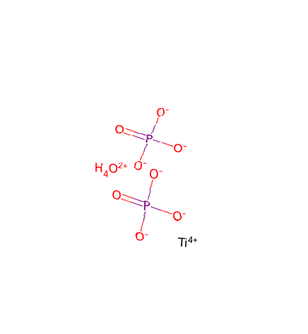 O=P([O-])([O-])[O-].O=P([O-])([O-])[O-].[OH4+2].[Ti+4]